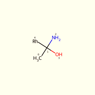 C[C](N)(O)[Rh]